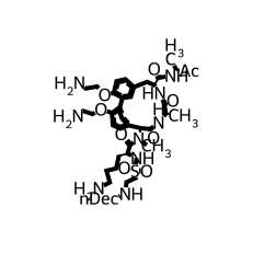 CCCCCCCCCCNCCS(=O)(=O)N[C@@H](CCCCN)C(=O)N(C)[C@@H]1C(=O)N[C@@H](C)C(=O)N[C@H](C(=O)N[C@@H](C)C(C)=O)Cc2ccc(OCCN)c(c2)-c2cc1ccc2OCCN